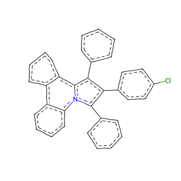 Clc1ccc(-c2c(-c3ccccc3)c3c4ccccc4c4ccccc4n3c2-c2ccccc2)cc1